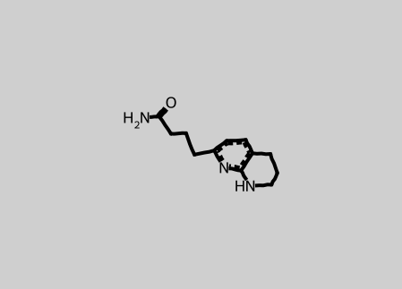 NC(=O)CCCc1ccc2c(n1)NCCC2